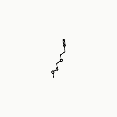 COSCOCCC#N